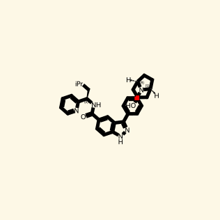 CC(C)C[C@@H](NC(=O)c1ccc2[nH]nc(-c3ccc(N4[C@@H]5CC[C@H]4CC(O)C5)cc3)c2c1)c1ccccn1